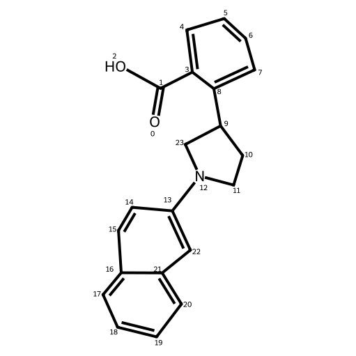 O=C(O)c1ccccc1C1CCN(c2ccc3ccccc3c2)C1